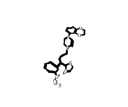 FC(F)(F)Oc1ccccc1C(CCN1CCN(c2cccc3c2OCCO3)CC1)C1OCCO1